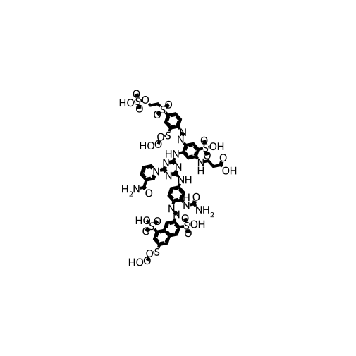 NC(=O)Nc1cc(Nc2nc(Nc3cc(NCCC(=O)O)c(S(=O)(=O)O)cc3N=Nc3ccc(S(=O)(=O)CCOS(=O)(=O)O)cc3SOOO)nc(-[n+]3cccc(C(N)=O)c3)n2)ccc1N=Nc1cc2c(S(=O)(=O)O)cc(SOOO)cc2cc1S(=O)(=O)O